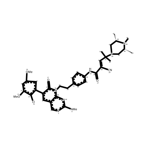 CNc1ncc2cc(-c3cc(OC)cc(OC)c3Cl)c(=O)n(CCc3ccc(NC(=O)C(C#N)=CC(C)(C)N4C[C@@H](C)N(C)[C@@H](C)C4)cc3)c2n1